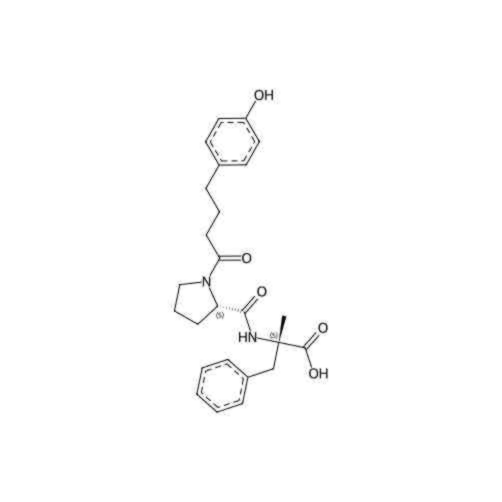 C[C@@](Cc1ccccc1)(NC(=O)[C@@H]1CCCN1C(=O)CCCc1ccc(O)cc1)C(=O)O